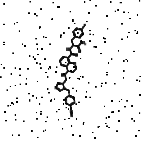 N#Cc1ccc(Cn2cncc2CNC2CCOc3c(C(=O)NC(Cc4ccc(F)cc4)C(N)=O)cccc32)cc1